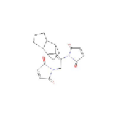 O=C1C=CC(=O)N1CC(=C1C2CCC1C1CCCC21)N1C(=O)C=CC1=O